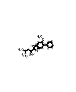 CNC(CC(C)C)c1nc2cc(-c3ccncc3)c(OC)cc2[nH]1